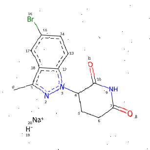 Cc1nn(C2CCC(=O)NC2=O)c2ccc(Br)cc12.[H-].[Na+]